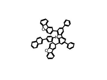 C1=c2oc3ccccc3c2=CC(c2cc(-c3ccccc3)cc3c4cc(-c5ccccc5)cc(-c5ccc6oc7ccccc7c6c5)c4n(-c4ccc(-c5ccc6ccccc6c5)cc4)c23)C1